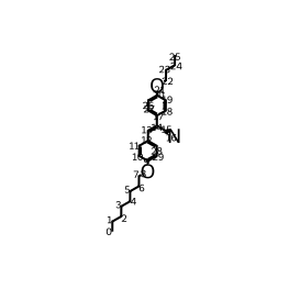 CCCCCCCCOc1ccc(C=C(C#N)c2ccc(OCCCC)cc2)cc1